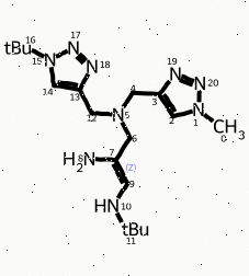 Cn1cc(CN(C/C(N)=C/NC(C)(C)C)Cc2cn(C(C)(C)C)nn2)nn1